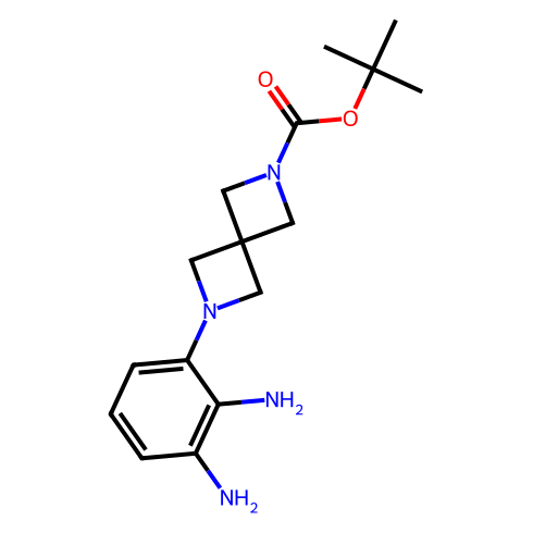 CC(C)(C)OC(=O)N1CC2(C1)CN(c1cccc(N)c1N)C2